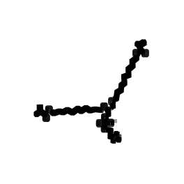 C=C(C)C(=O)OCCCCCCCCCCCOC[C@H](COP(=O)([O-])OCC[N+](C)(C)C)OCCCCCCCCCCCOC(=O)C(=C)C